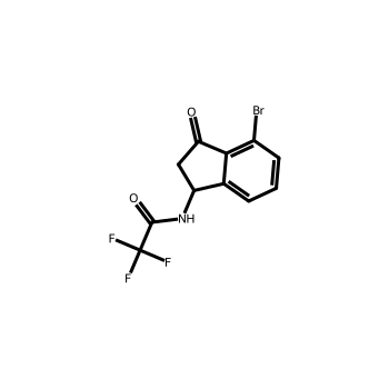 O=C1CC(NC(=O)C(F)(F)F)c2cccc(Br)c21